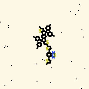 Cc1ccc(C2(c3ccc(C)cc3)c3cc4c(cc3-c3sc(C)cc32)C(c2ccc(C)cc2)(c2ccc(C)cc2)c2cc(-c3ccc(-c5ccc(-c6ccc(C)s6)c6nsnc56)s3)sc2-4)cc1